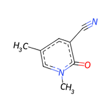 Cc1cc(C#N)c(=O)n(C)c1